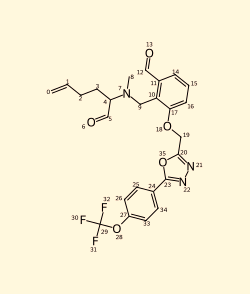 C=CCCC(C=O)N(C)Cc1c(C=O)cccc1OCc1nnc(-c2ccc(OC(F)(F)F)cc2)o1